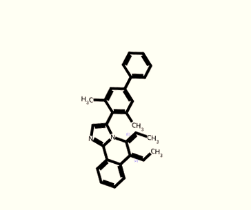 C/C=c1\c(=C/C)n2c(-c3c(C)cc(-c4ccccc4)cc3C)cnc2c2ccccc12